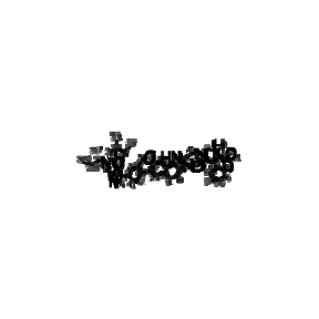 CCCN(Cc1nc2ccc3cc4c(cc3c2[nH]1)OCc1cc(-c2cnc(CN(C(=O)C[C@@H](C)CC)[C@@H](C)CC)[nH]2)ccc1-4)C(=O)[C@H](NC(=O)OC)c1ccccc1